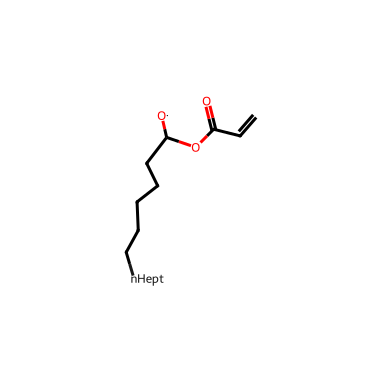 C=CC(=O)OC([O])CCCCCCCCCCCC